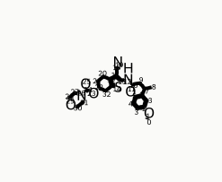 COc1cccc(C(C)CC(=O)Nc2sc3c(c2C#N)CCC(OC(=O)N2CCOCC2)C3)c1